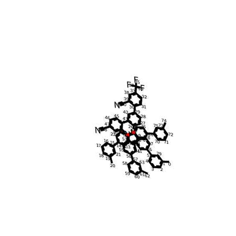 Cc1cccc(-c2ccc3c(c2)c2cc(-c4cccc(C)c4)ccc2n3-c2ccc(-c3ccc(C(F)(F)F)cc3C#N)cc2-c2ccc(C#N)cc2-n2c3ccc(-c4cccc(C)c4)cc3c3cc(-c4cccc(C)c4)ccc32)c1